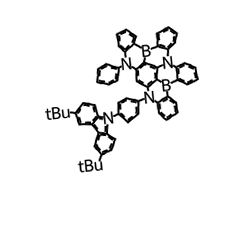 CC(C)(C)c1ccc2c(c1)c1cc(C(C)(C)C)ccc1n2-c1ccc(N2c3ccccc3B3c4ccccc4N4c5ccccc5B5c6ccccc6N(c6ccccc6)c6cc2c3c4c65)cc1